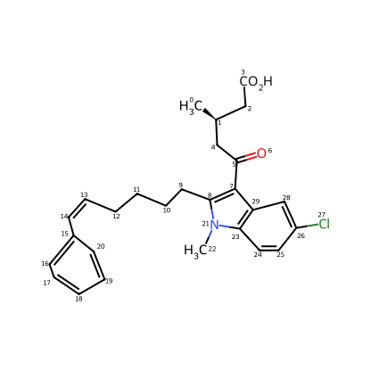 C[C@@H](CC(=O)O)CC(=O)c1c(CCCC/C=C\c2ccccc2)n(C)c2ccc(Cl)cc12